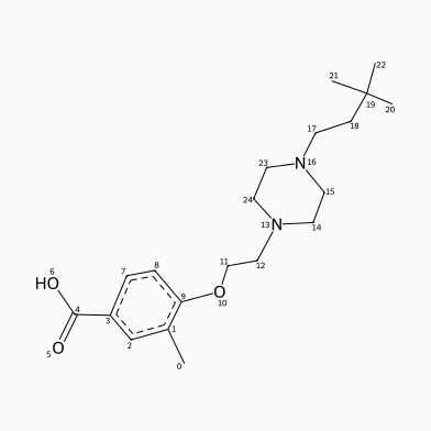 Cc1cc(C(=O)O)ccc1OCCN1CCN(CCC(C)(C)C)CC1